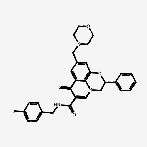 O=C(NCc1ccc(Cl)cc1)c1cn2c3c(cc(CN4CCOCC4)cc3c1=S)OC(c1ccccc1)C2